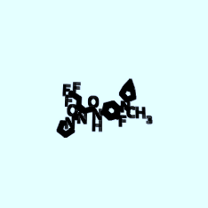 CN(c1ccc(NC(=O)c2nc(N3CCCC3)oc2CC(F)(F)F)cc1F)C1CC2CC2C1